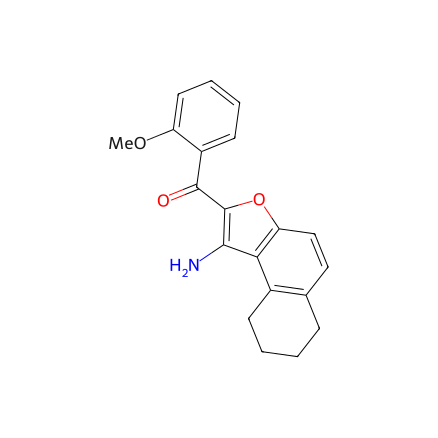 COc1ccccc1C(=O)c1oc2ccc3c(c2c1N)CCCC3